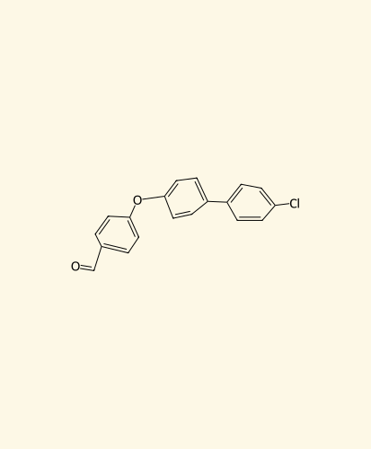 O=Cc1ccc(Oc2ccc(-c3ccc(Cl)cc3)cc2)cc1